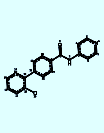 O=C(Nc1ccncc1)c1ccc(-c2ncccc2Cl)cc1